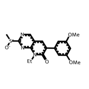 CCn1c(=O)c(-c2cc(OC)cc(OC)c2)cc2cnc([S+](C)[O-])nc21